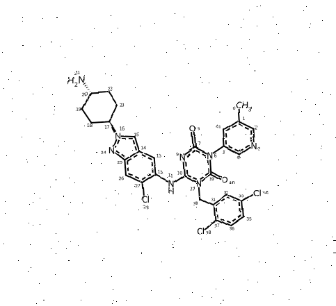 Cc1cncc(-n2c(=O)nc(Nc3cc4cn([C@H]5CC[C@H](N)CC5)nc4cc3Cl)n(Cc3cc(Cl)ccc3Cl)c2=O)c1